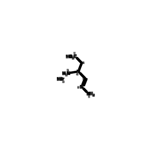 Br.NN=CN(N)CC(=O)O